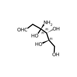 N[C@@](O)(CC=O)[C@H](O)[C@H](O)CO